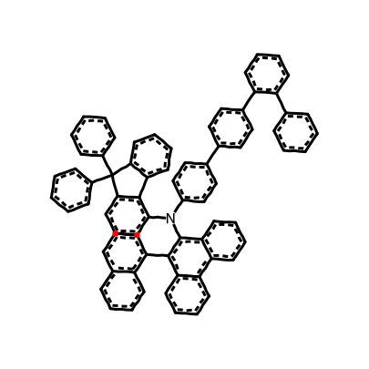 c1ccc(-c2ccccc2-c2ccc(-c3ccc(N(c4cccc5c4-c4ccccc4C5(c4ccccc4)c4ccccc4)c4c(-c5cccc6ccccc56)c5ccccc5c5ccccc45)cc3)cc2)cc1